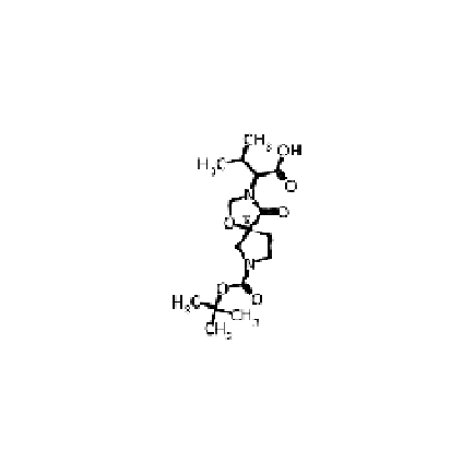 CC(C)C(C(=O)O)N1CO[C@]2(CCN(C(=O)OC(C)(C)C)C2)C1=O